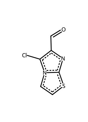 O=Cc1nc2sccn2c1Cl